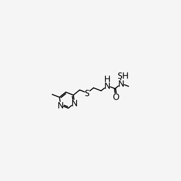 Cc1cc(CSCCNC(=O)N(C)S)ncn1